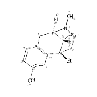 CC[C@@]12CCN(C)[C@H](Cc3ccc(O)cc31)[C@@H]2C